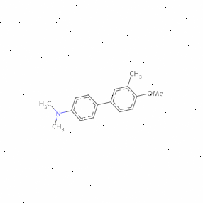 COc1ccc(-c2ccc(N(C)C)cc2)cc1C